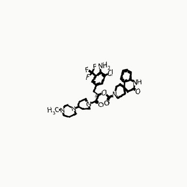 CN1CCCN(C2CCN(C(=O)[C@@H](Cc3cc(Cl)c(N)c(C(F)(F)F)c3)OC(=O)N3CCC4(CC3)CC(=O)Nc3ccccc34)CC2)CC1